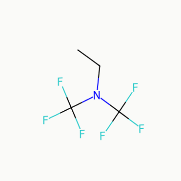 CCN(C(F)(F)F)C(F)(F)F